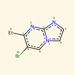 CCc1nc2n[c]cn2cc1Br